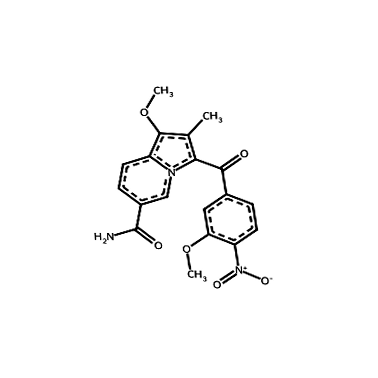 COc1cc(C(=O)c2c(C)c(OC)c3ccc(C(N)=O)cn23)ccc1[N+](=O)[O-]